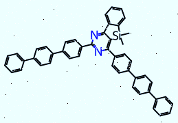 C[Si]1(C)c2ccccc2-c2nc(-c3ccc(-c4ccc(-c5ccccc5)cc4)cc3)nc(-c3ccc(-c4ccc(-c5ccccc5)cc4)cc3)c21